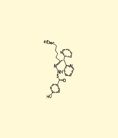 CCCCCCCCCCCCCCC(=NNSC(=O)c1ccc(O)cc1)C(c1ccccn1)c1ccccn1